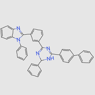 c1ccc(-c2ccc(C3=NC(c4cccc(-c5nc6ccccc6n5-c5ccccc5)c4)=NC(c4ccccc4)N3)cc2)cc1